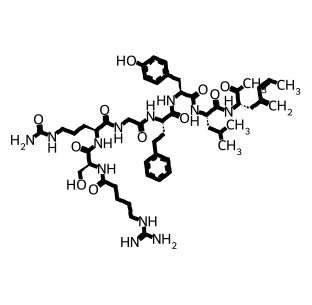 C=C(/C=C\C)C[C@H](NC(=O)[C@H](CC(C)C)NC(=O)[C@H](Cc1ccc(O)cc1)NC(=O)[C@H](CCc1ccccc1)NC(=O)CNC(=O)[C@H](CCCNC(N)=O)NC(=O)[C@H](CO)NC(=O)CCCCNC(=N)N)C(C)=O